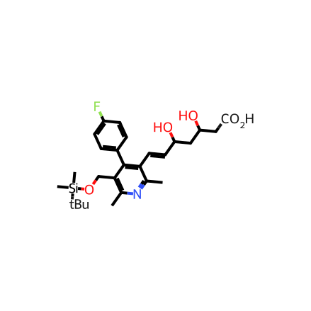 Cc1nc(C)c(CO[Si](C)(C)C(C)(C)C)c(-c2ccc(F)cc2)c1/C=C/C(O)CC(O)CC(=O)O